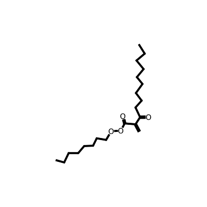 C=C(C(=O)CCCCCCCCC)C(=O)OOCCCCCCCC